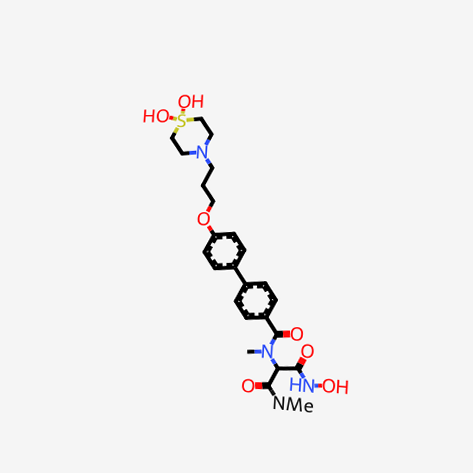 CNC(=O)C(C(=O)NO)N(C)C(=O)c1ccc(-c2ccc(OCCCN3CCS(O)(O)CC3)cc2)cc1